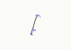 CN(C)CCCNCCCCCCCCCCCCN